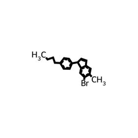 CCCCc1ccc(C2C=Cc3cc(C)c(Br)cc32)cc1